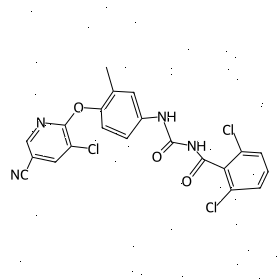 Cc1cc(NC(=O)NC(=O)c2c(Cl)cccc2Cl)ccc1Oc1ncc(C#N)cc1Cl